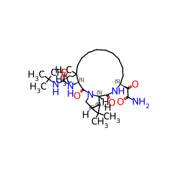 CC(C)(C)NC(=O)N[C@@H]1C(=O)N2C[C@H]3[C@@H]([C@H]2C(=O)N[C@H](C(=O)C(N)=O)CCCCCCCCCC1(C)C)C3(C)C